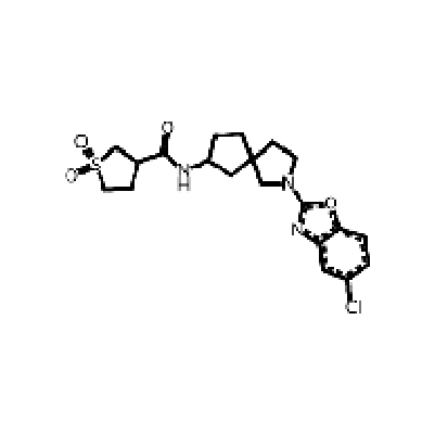 O=C(NC1CCC2(CCN(c3nc4cc(Cl)ccc4o3)C2)C1)C1CCS(=O)(=O)C1